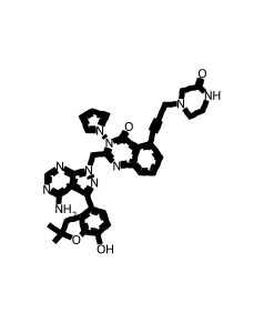 CC1(C)Cc2c(-c3nn(Cc4nc5cccc(C#CCN6CCNC(=O)C6)c5c(=O)n4-n4cccc4)c4ncnc(N)c34)ccc(O)c2O1